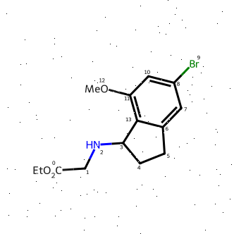 CCOC(=O)CNC1CCc2cc(Br)cc(OC)c21